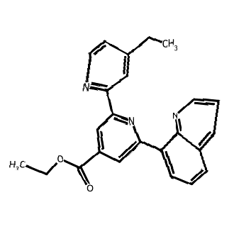 CCOC(=O)c1cc(-c2cc(CC)ccn2)nc(-c2cccc3cccnc23)c1